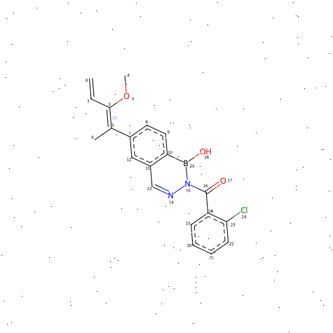 C=C/C(OC)=C(\C)c1ccc2c(c1)C=NN(C(=O)c1ccccc1Cl)B2O